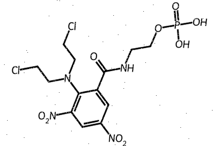 O=C(NCCOP(=O)(O)O)c1cc([N+](=O)[O-])cc([N+](=O)[O-])c1N(CCCl)CCCl